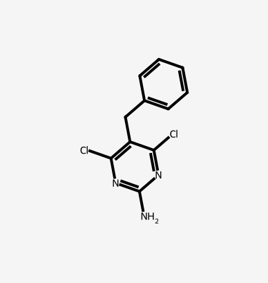 Nc1nc(Cl)c(Cc2ccccc2)c(Cl)n1